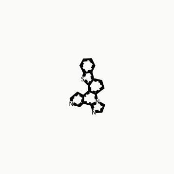 c1ccc2c(c1)sc1c2ccc2c1c1ccncc1c1nccn21